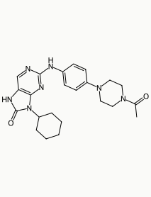 CC(=O)N1CCN(c2ccc(Nc3ncc4[nH]c(=O)n(C5CCCCC5)c4n3)cc2)CC1